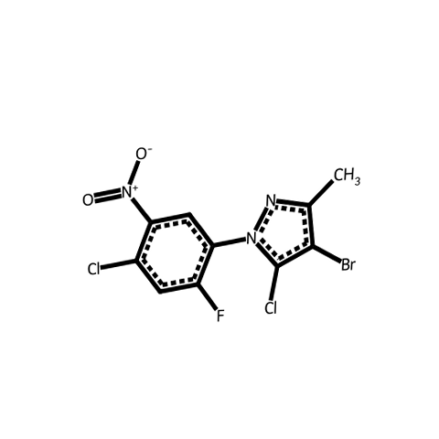 Cc1nn(-c2cc([N+](=O)[O-])c(Cl)cc2F)c(Cl)c1Br